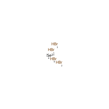 Br.Br.Br.Br.[Se+2]